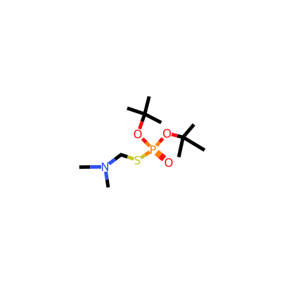 CN(C)CSP(=O)(OC(C)(C)C)OC(C)(C)C